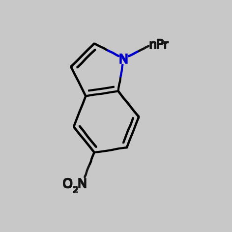 [CH2]CCn1ccc2cc([N+](=O)[O-])ccc21